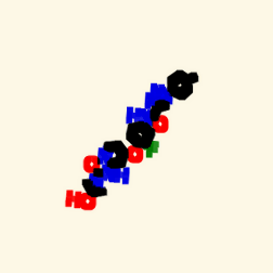 Cc1ccc(-n2cc(C(=O)Nc3ccc(Oc4ccnc(NC(=O)N5CC(O)C5)c4)c(F)c3)nn2)cc1